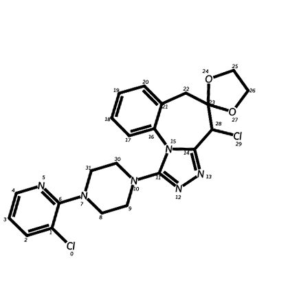 Clc1cccnc1N1CCN(c2nnc3n2-c2ccccc2CC2(OCCO2)C3Cl)CC1